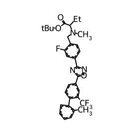 CCC(C(=O)OC(C)(C)C)N(C)Cc1ccc(-c2noc(-c3ccc(-c4ccccc4C)c(C(F)(F)F)c3)n2)cc1F